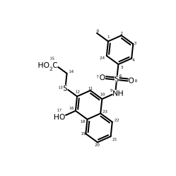 Cc1cccc(S(=O)(=O)Nc2cc(SCC(=O)O)c(O)c3ccccc23)c1